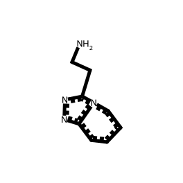 NCCc1nnc2ccccn12